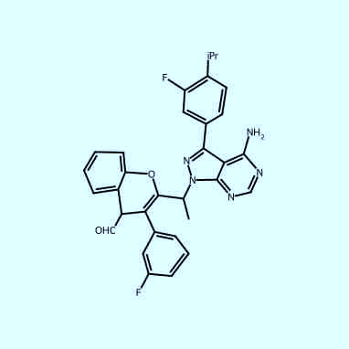 CC(C)c1ccc(-c2nn(C(C)C3=C(c4cccc(F)c4)C(C=O)c4ccccc4O3)c3ncnc(N)c23)cc1F